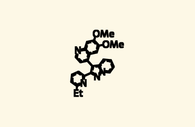 CCc1cccc(-c2nn3ccccc3c2-c2ccnc3cc(OC)c(OC)cc23)n1